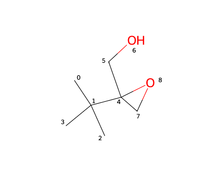 CC(C)(C)C1(CO)CO1